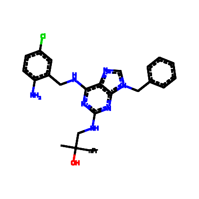 CCCC(C)(O)CNc1nc(NCc2cc(Cl)ccc2N)c2ncn(Cc3ccccc3)c2n1